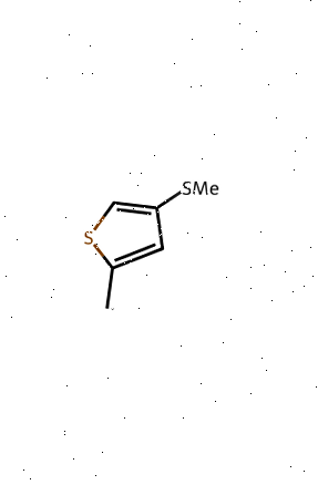 [CH2]c1cc(SC)cs1